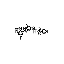 Cc1cnc2c(-c3nc4c(C)cc(OCCNS(=O)(=O)c5ccc(F)cc5)cc4s3)cc(F)cc2n1